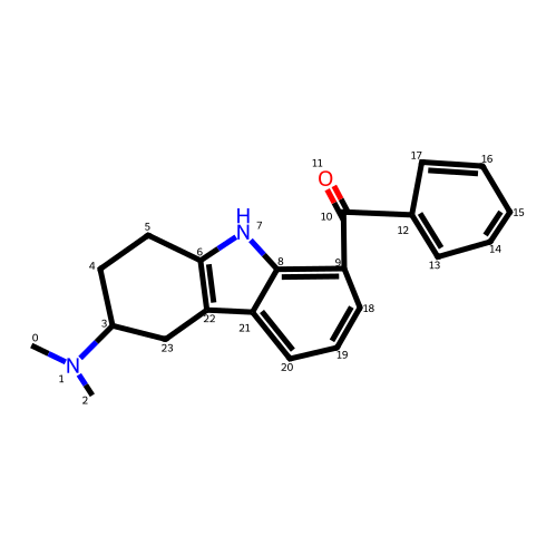 CN(C)C1CCc2[nH]c3c(C(=O)c4ccccc4)cccc3c2C1